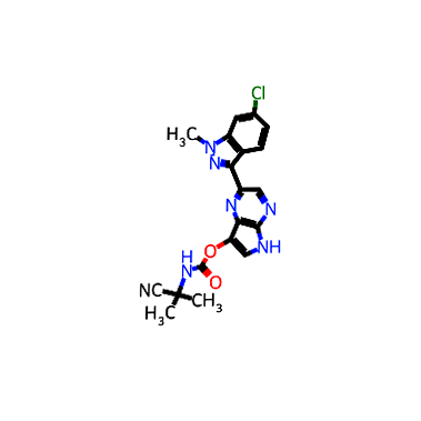 Cn1nc(-c2cnc3[nH]cc(OC(=O)NC(C)(C)C#N)c3n2)c2ccc(Cl)cc21